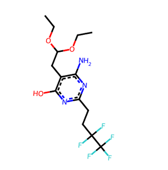 CCOC(Cc1c(N)nc(CCC(F)(F)C(F)(F)F)nc1O)OCC